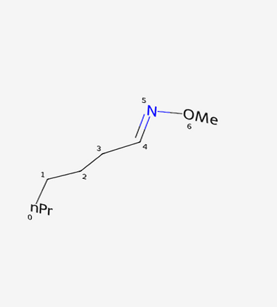 CCCCCCC=NOC